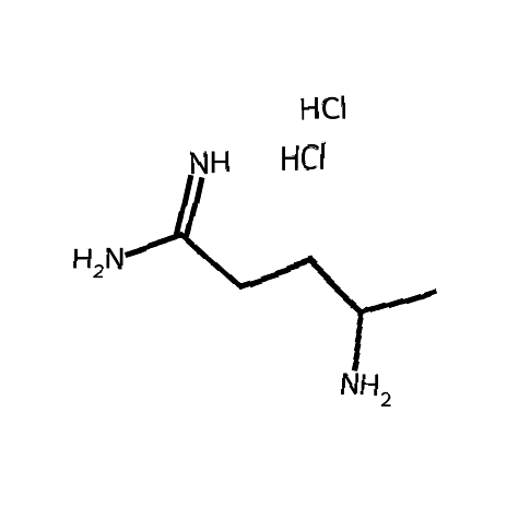 CC(N)CCC(=N)N.Cl.Cl